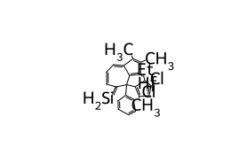 CCC1C=CC(C)=C1C1(c2ccccc2)C(=[SiH2])C=CC=C2C(C)=C(C)[C]([Hf]([Cl])[Cl])=C21